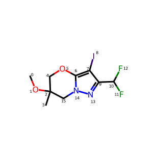 COC1(C)COc2c(I)c(C(F)F)nn2C1